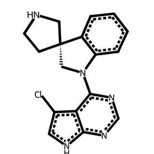 Clc1c[nH]c2ncnc(N3C[C@@]4(CCNC4)c4ccccc43)c12